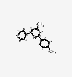 Cc1ccc(-c2nc(C)cc(-c3ccncc3)n2)cc1